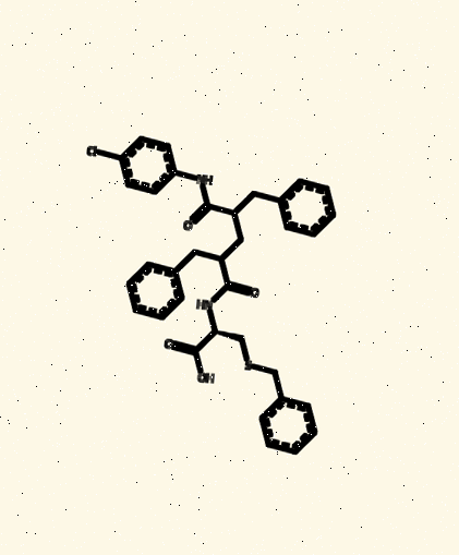 O=C(Nc1ccc(Cl)cc1)C(Cc1ccccc1)CC(Cc1ccccc1)C(=O)N[C@@H](CSCc1ccccc1)C(=O)O